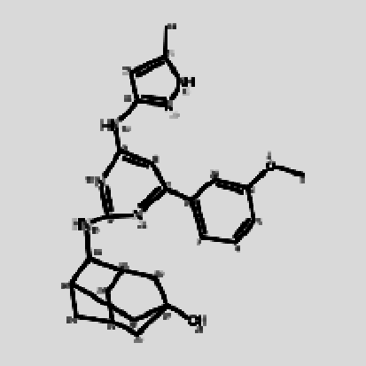 COc1cccc(-c2cc(Nc3cc(C)[nH]n3)nc(NC3C4CC5CC3CC(O)(C5)C4)n2)c1